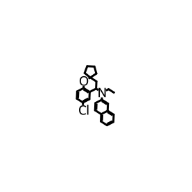 CCN(c1ccc2ccccc2c1)C1CC2(CCCC2)Oc2ccc(Cl)cc21